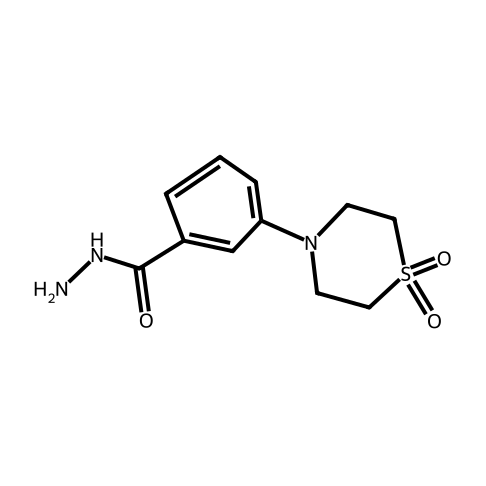 NNC(=O)c1cccc(N2CCS(=O)(=O)CC2)c1